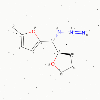 Cc1ccc([C@H](N=[N+]=[N-])[C@H]2CCCO2)o1